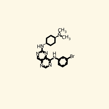 CN(C)[C@H]1CC[C@H](Nc2ncc3ncnc(Nc4cccc(Br)c4)c3n2)CC1